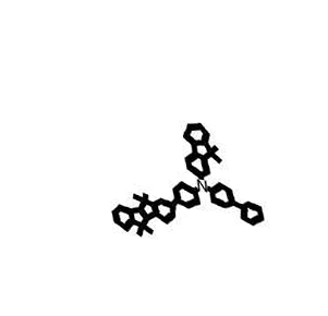 CC1(C)C2=C(c3ccccc31)C(C)(C)c1cc(-c3ccc(N(c4ccc(-c5ccccc5)cc4)c4ccc5c(c4)C(C)(C)c4ccccc4-5)cc3)ccc12